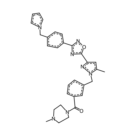 Cc1cc(-c2nc(-c3ccc(Cn4cccc4)cc3)no2)nn1Cc1cccc(C(=O)N2CCN(C)CC2)c1